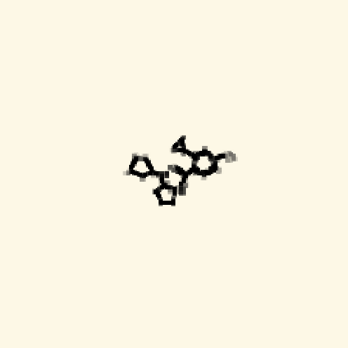 O=C(N[C@@H]1CCC[C@H]1NC1CCCC1)c1ccc(C(F)(F)F)cc1C1CC1